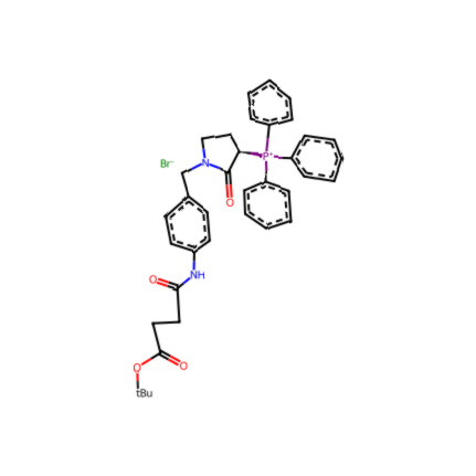 CC(C)(C)OC(=O)CCC(=O)Nc1ccc(CN2CC[C@@H]([P+](c3ccccc3)(c3ccccc3)c3ccccc3)C2=O)cc1.[Br-]